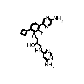 Nc1cnc(-c2ccc(C3CCC3)c(OCC(O)CNc3cc(N)ncn3)c2F)cn1